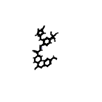 COC1=CCC(CN(C)C2CCN(C(=O)/C=C/c3ccc(C(F)(F)F)cc3Cn3nnc(C)n3)CC2)C=C1